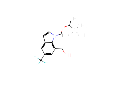 CC(OCn1ccc2cc(C(F)(F)F)cc(CO)c21)[Si](C)(C)C